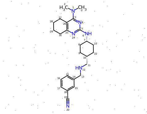 CN(C)c1nc(N[C@H]2CC[C@@H](CNCc3cccc(C#N)c3)CC2)nc2c1CCCC2